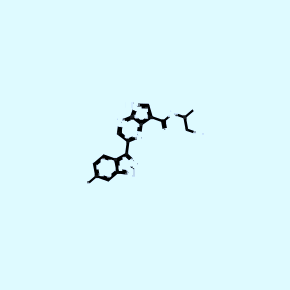 CC(CO)NC(=O)c1c[nH]c2ncc(-c3n[nH]c4cc(Cl)ccc34)nc12